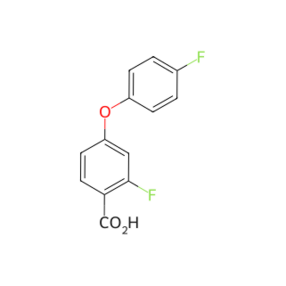 O=C(O)c1ccc(Oc2ccc(F)cc2)cc1F